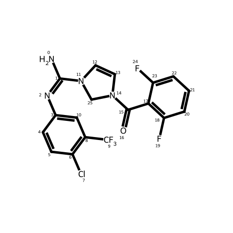 NC(=Nc1ccc(Cl)c(C(F)(F)F)c1)N1C=CN(C(=O)c2c(F)cccc2F)C1